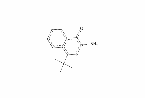 CC(C)(C)c1nn(N)c(=O)c2ccccc12